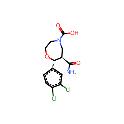 NC(=O)[C@@H]1CN(C(=O)O)CCO[C@H]1c1ccc(Cl)c(Cl)c1